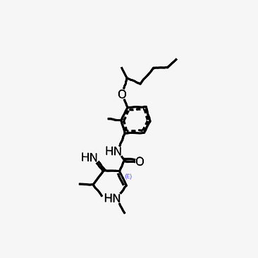 CCCCC(C)Oc1cccc(NC(=O)/C(=C/NC)C(=N)C(C)C)c1C